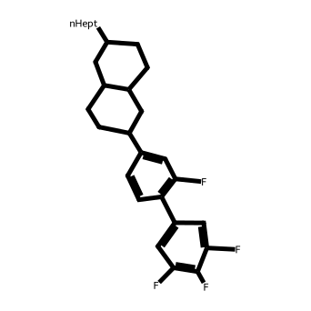 CCCCCCCC1CCC2CC(c3ccc(-c4cc(F)c(F)c(F)c4)c(F)c3)CCC2C1